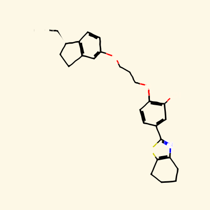 CCOC(=O)C[C@@H]1CCc2cc(OCCCOc3ccc(-c4nc5c(s4)CCCC5)cc3O)ccc21